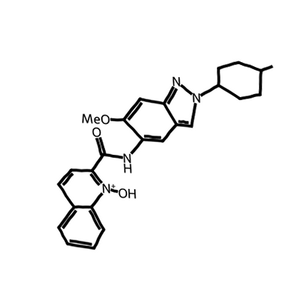 COc1cc2nn(C3CCC(C)CC3)cc2cc1NC(=O)c1ccc2ccccc2[n+]1O